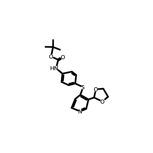 CC(C)(C)OC(=O)Nc1ccc(Sc2ccncc2C2OCCO2)cc1